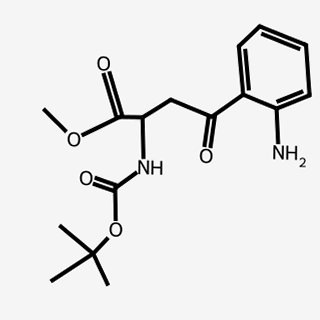 COC(=O)C(CC(=O)c1ccccc1N)NC(=O)OC(C)(C)C